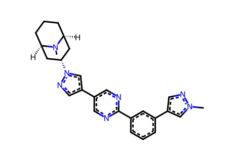 CN1[C@@H]2CCC[C@H]1C[C@H](n1cc(-c3cnc(-c4cccc(-c5cnn(C)c5)c4)nc3)cn1)C2